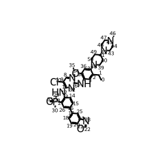 CCc1cc(Nc2ncc(Cl)c(Nc3ccc(-c4ccc5ocnc5c4)cc3P(C)(C)=O)n2)c(OC)cc1N1CCC(N2CCN(C)CC2)CC1